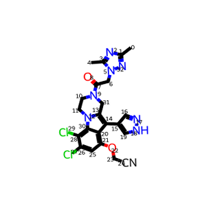 Cc1nc(C)n(CC(=O)N2CCn3c(c(-c4cn[nH]c4)c4c(OCC#N)cc(Cl)c(Cl)c43)C2)n1